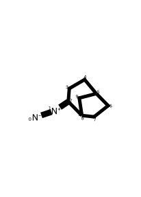 [N-]=[N+]=C1CCC2CC[C]1C2